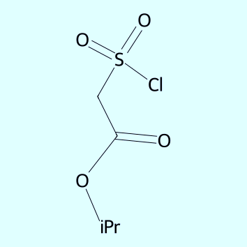 CC(C)OC(=O)CS(=O)(=O)Cl